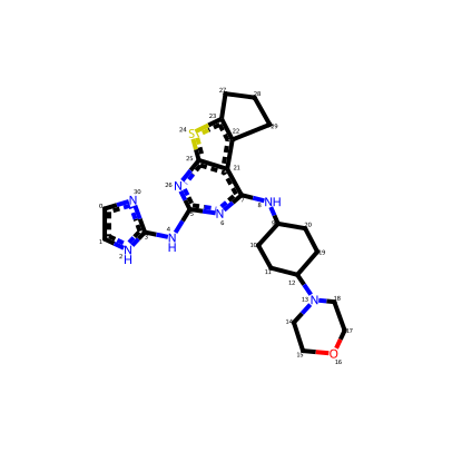 c1c[nH]c(Nc2nc(NC3CCC(N4CCOCC4)CC3)c3c4c(sc3n2)CCC4)n1